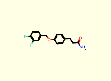 NC(=O)CCc1ccc(OCc2ccc(F)c(F)c2)cc1